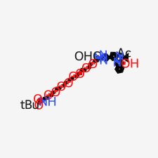 CC(=O)N1c2ccc(-c3cnc(N(C=O)CCOCCOCCOCCOCCOCCOCCOCCOCCNC(=O)OC(C)(C)C)nc3)cc2N(Cc2ccccc2CO)C[C@@H]1C1CC1